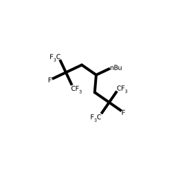 CCCCC(CC(F)(C(F)(F)F)C(F)(F)F)CC(F)(C(F)(F)F)C(F)(F)F